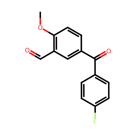 COc1ccc(C(=O)c2ccc(F)cc2)cc1C=O